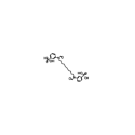 O=CN(CCCCCCCCCCN(C=O)c1cccc(P(=O)(O)O)c1)c1cccc(P(=O)(O)O)c1